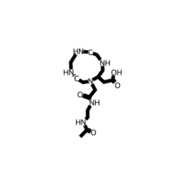 CC(=O)NCCNC(=O)CN1CCNCCNCCNCC1CC(=O)O